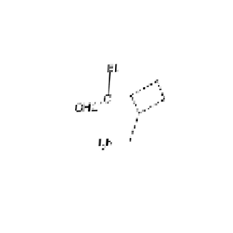 CCOC=O.NCC1CCC1